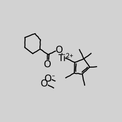 CC1=C(C)C(C)(C)[C]([Ti+2][O]C(=O)C2CCCCC2)=C1C.C[O-].C[O-]